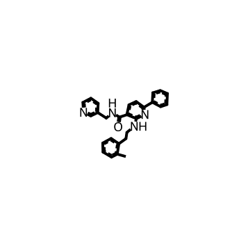 Cc1ccccc1CCNc1nc(-c2ccccc2)ccc1C(=O)NCc1cccnc1